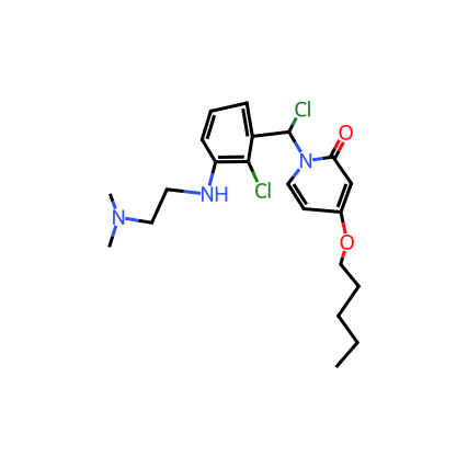 CCCCCOc1ccn(C(Cl)c2cccc(NCCN(C)C)c2Cl)c(=O)c1